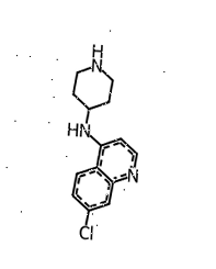 Clc1ccc2c(NC3CCNCC3)ccnc2c1